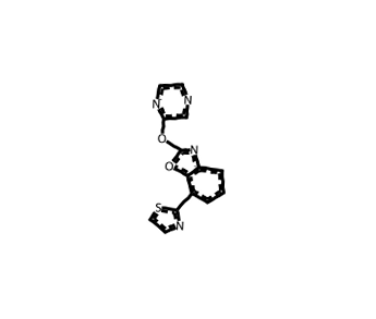 c1cc(-c2nccs2)c2oc(Oc3cnccn3)nc2c1